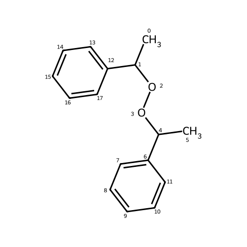 CC(OOC(C)c1ccccc1)c1ccccc1